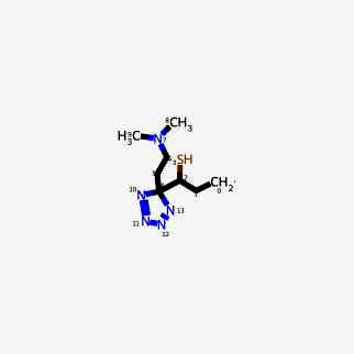 [CH2]CC(S)C1(CCN(C)C)N=NN=N1